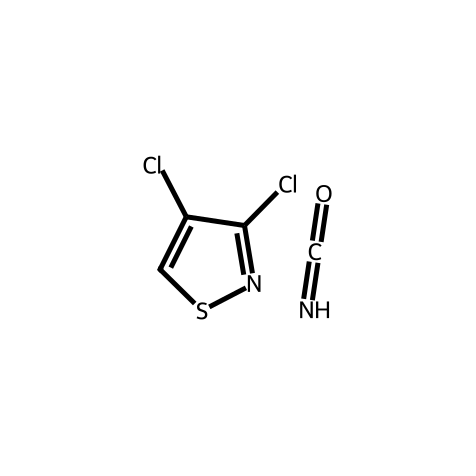 Clc1csnc1Cl.N=C=O